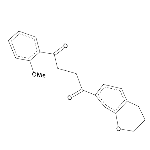 COc1ccccc1C(=O)CCC(=O)c1ccc2c(c1)OCCC2